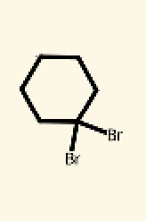 BrC1(Br)CC[CH]CC1